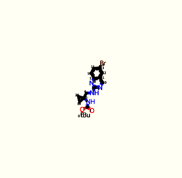 CC(C)(C)OC(=O)NC1(CNc2ncc3cc(Br)ccc3n2)CC1